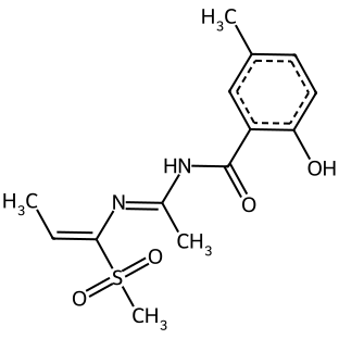 C/C=C(\N=C(/C)NC(=O)c1cc(C)ccc1O)S(C)(=O)=O